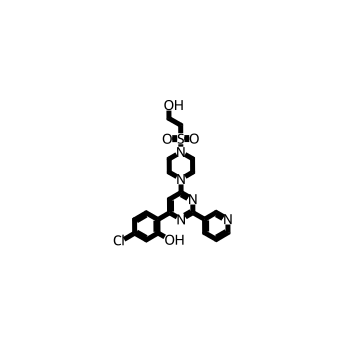 O=S(=O)(CCO)N1CCN(c2cc(-c3ccc(Cl)cc3O)nc(-c3cccnc3)n2)CC1